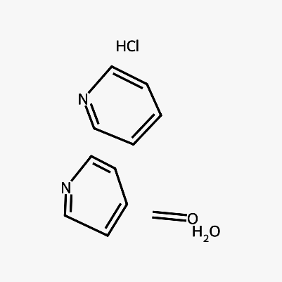 C=O.Cl.O.c1ccncc1.c1ccncc1